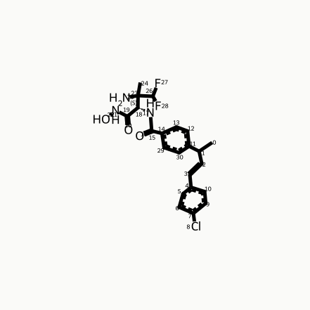 CC(C=Cc1ccc(Cl)cc1)c1ccc(C(=O)N[C@H](C(=O)NO)C(C)(N)C(F)F)cc1